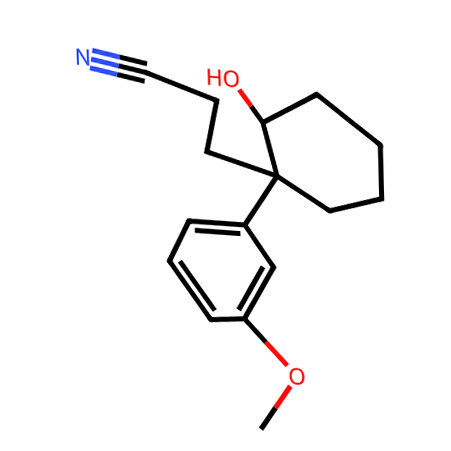 COc1cccc(C2(CCC#N)CCCCC2O)c1